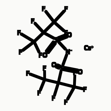 O=S(=O)([N-]S(=O)(=O)C(F)(C(F)(F)F)C(F)(F)F)C(F)(C(F)(F)F)C(F)(F)F.[Cs+]